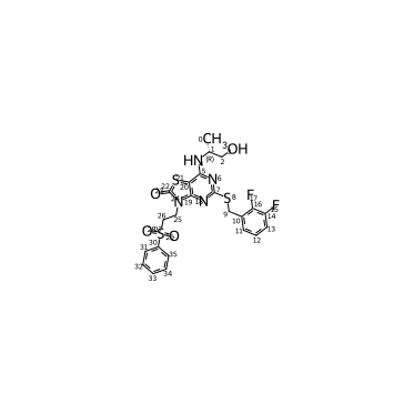 C[C@H](CO)Nc1nc(SCc2cccc(F)c2F)nc2c1sc(=O)n2CCS(=O)(=O)c1ccccc1